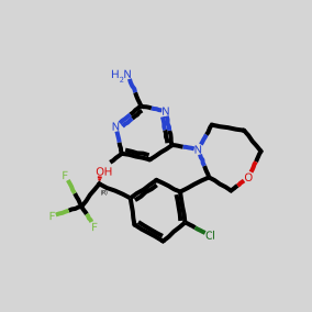 Cc1cc(N2CCCOCC2c2cc([C@@H](O)C(F)(F)F)ccc2Cl)nc(N)n1